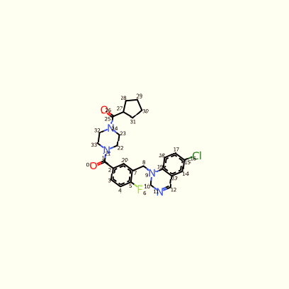 O=C(c1ccc(F)c(CN2CN=Cc3cc(Cl)ccc32)c1)N1CCN(C(=O)C2CCCC2)CC1